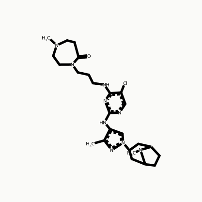 Cc1nn(C2CC3CCC(C2)N3C)cc1Nc1ncc(Cl)c(NCCCN2CCN(C)CCC2=O)n1